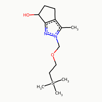 Cc1c2c(nn1COCC[Si](C)(C)C)C(O)CC2